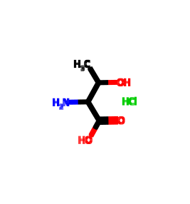 CC(O)C(N)C(=O)O.Cl